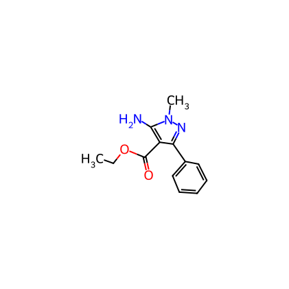 CCOC(=O)c1c(-c2ccccc2)nn(C)c1N